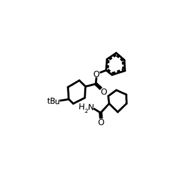 CC(C)(C)C1CCC(C(=O)Oc2ccccc2)CC1.NC(=O)C1CCCCC1